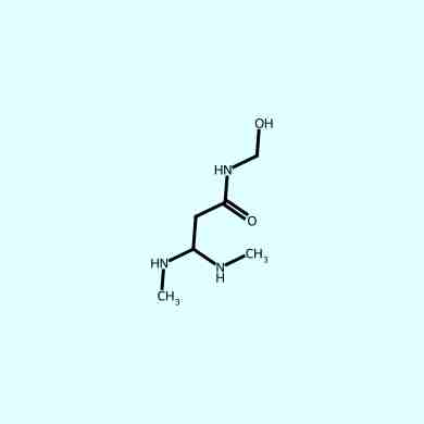 CNC(CC(=O)NCO)NC